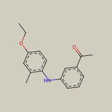 CCOc1ccc(Nc2cccc(C(C)=O)c2)c(C)c1